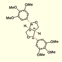 COc1cc([C@@H]2OC[C@@H]3[C@H]2CO[C@H]3c2cc(OC)c(OC)c(OC)c2)cc(OC)c1OC